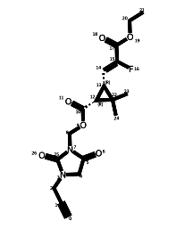 C#CCN1CC(=O)N(COC(=O)[C@@H]2[C@H](C=C(F)C(=O)OCC)C2(C)C)C1=O